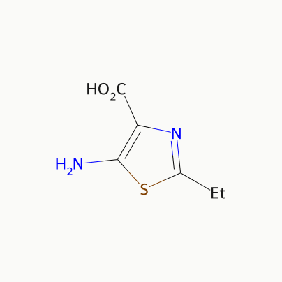 CCc1nc(C(=O)O)c(N)s1